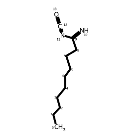 CCCCCCCCCC(=N)N=C=O